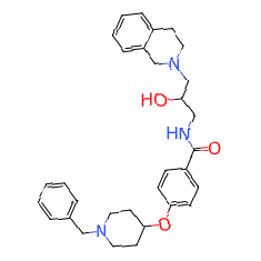 O=C(NCC(O)CN1CCc2ccccc2C1)c1ccc(OC2CCN(Cc3ccccc3)CC2)cc1